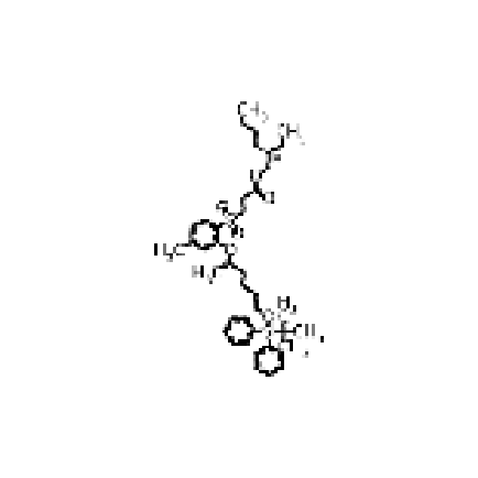 CCCC[C@@H](CC)COC(=O)CCS(=O)(=O)c1ccc(C)cc1O[C@H](C)CCCCO[Si](c1ccccc1)(c1ccccc1)C(C)(C)C